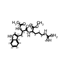 C=C(NC(CCCNC(=N)N)C(=O)OC)C(Cc1c[nH]c2ccccc12)NC(C)=O